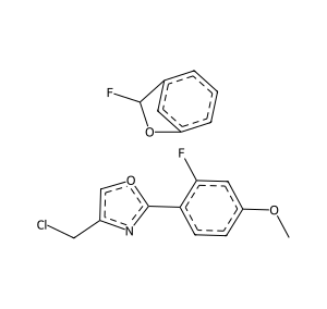 COc1ccc(-c2nc(CCl)co2)c(F)c1.FC1Oc2cccc1c2